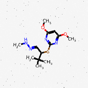 CNN=CC(Sc1nc(OC)cc(OC)n1)C(C)(C)C